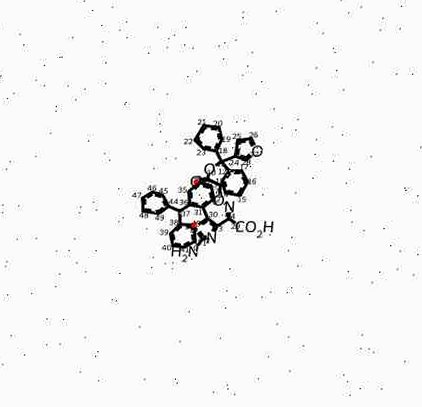 Nc1nc(C(=NOCC(=O)OC(c2ccccc2)(c2ccccc2)c2ccoc2)C(=O)O)c(-c2ccccc2C(c2ccccc2)c2ccccc2)s1